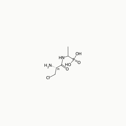 CC(NC(=O)[C@@H](N)CCl)P(=O)(O)O